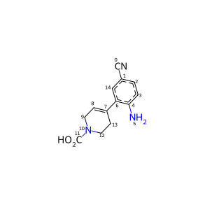 N#Cc1ccc(N)c(C2=CCN(C(=O)O)CC2)c1